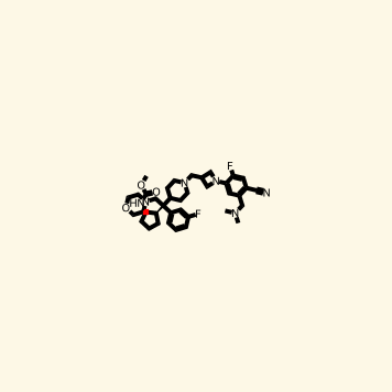 COC(=O)N[C@H]1CCC[C@@H]1C(CN1CCOCC1)(c1cccc(F)c1)C1CCN(CC2CN(c3cc(CN(C)C)c(C#N)cc3F)C2)CC1